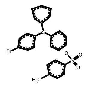 CCc1ccc([S+](c2ccccc2)c2ccccc2)cc1.Cc1ccc(S(=O)(=O)[O-])cc1